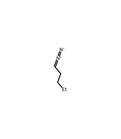 CCCCC=[N+]=[N-]